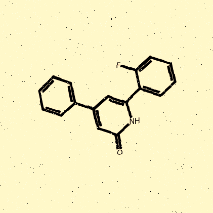 O=c1cc(-c2ccccc2)cc(-c2ccccc2F)[nH]1